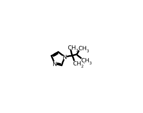 [CH2]C(C)(C(C)C)n1ccnc1